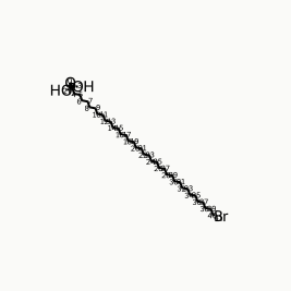 O=P(O)(O)CCCCCCCCCCCCCCCCCCCCCCCCCCCCCCCCCCCCCBr